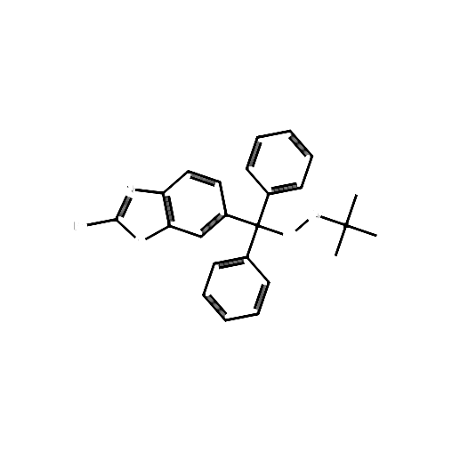 CC(C)(C)[SiH2]OC(c1ccccc1)(c1ccccc1)c1ccc2nc(Br)sc2c1